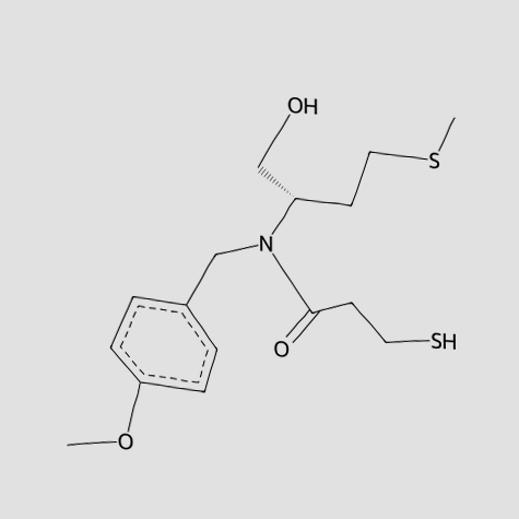 COc1ccc(CN(C(=O)CCS)[C@H](CO)CCSC)cc1